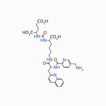 NCc1ccc(C(=O)NC(Cc2ccc3ccccc3n2)C(=O)NCCCCC(NC(=O)NC(CCC(=O)O)C(=O)O)C(=O)O)nc1